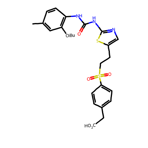 Cc1ccc(NC(=O)Nc2ncc(CCS(=O)(=O)c3ccc(CC(=O)O)cc3)s2)c(OCC(C)C)c1